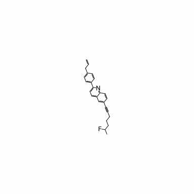 C=CCc1ccc(-c2ccc3cc(C#CCCCC(C)F)ccc3n2)cc1